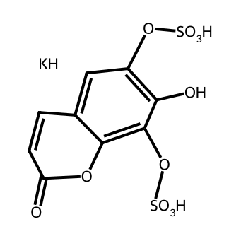 O=c1ccc2cc(OS(=O)(=O)O)c(O)c(OS(=O)(=O)O)c2o1.[KH]